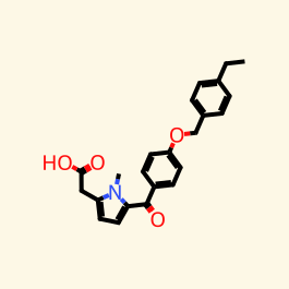 CCc1ccc(COc2ccc(C(=O)c3ccc(CC(=O)O)n3C)cc2)cc1